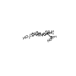 N[C@](CCCCB(O)O)(C(=O)O)C1CC(NCC2CCN(c3ccc(C(=O)O)cc3)CC2)C1